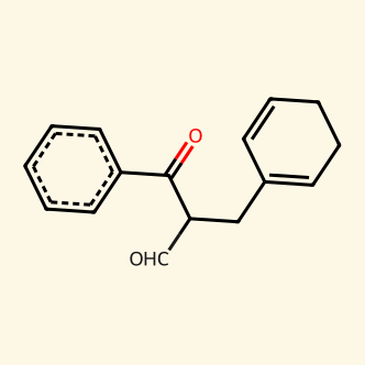 O=CC(CC1=CCCC=C1)C(=O)c1ccccc1